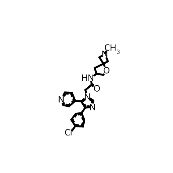 CN1CC2(CC(NC(=O)Cn3cnc(-c4ccc(Cl)cc4)c3-c3ccncc3)CO2)C1